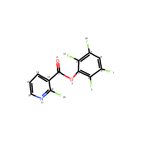 O=C(Oc1c(F)c(F)cc(F)c1F)c1cccnc1F